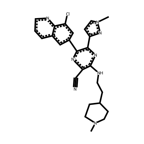 CN1CCC(CCNc2nc(-c3ccn(C)n3)c(-c3cc(Cl)c4ncccc4c3)nc2C#N)CC1